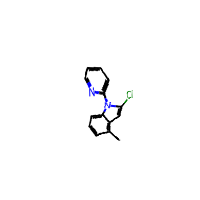 Cc1cccc2c1cc(Cl)n2-c1ccccn1